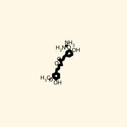 COc1cc(/C=C/C(=O)CC(=O)/C=C/c2ccc(O)c(OC(N)N)c2)ccc1O